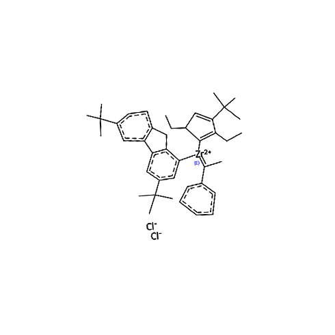 CCC1=[C](/[Zr+2](=[C](\C)c2ccccc2)[c]2cc(C(C)(C)C)cc3c2Cc2ccc(C(C)(C)C)cc2-3)C(CC)C=C1C(C)(C)C.[Cl-].[Cl-]